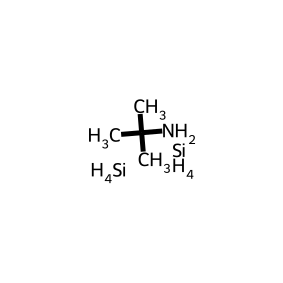 CC(C)(C)N.[SiH4].[SiH4]